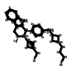 C[C@@H]1Cc2c([nH]c3ccccc23)[C@@H](c2ccc(NC3CN(CCCF)C3)cc2)N1C12CC(CF)(C1)C2